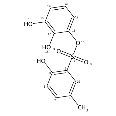 Cc1ccc(O)c(S(=O)(=O)Oc2cccc(O)c2O)c1